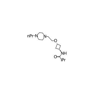 CCCN1CCN(CCO[C@H]2C[C@H](NC(=O)C(C)C)C2)CC1